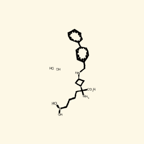 Cl.Cl.NC(CCCCB(O)O)(C(=O)O)[C@H]1C[C@@H](NCc2ccc(-c3ccccc3)cc2)C1